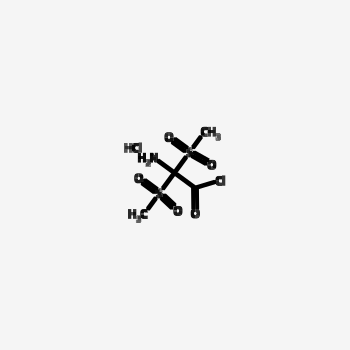 CS(=O)(=O)C(N)(C(=O)Cl)S(C)(=O)=O.Cl